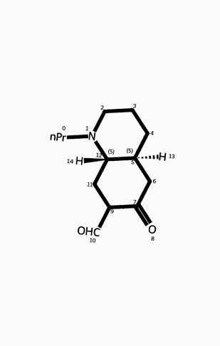 CCCN1CCC[C@H]2CC(=O)C(C=O)C[C@@H]21